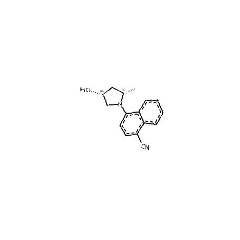 C[C@H]1C[C@@H](O)CN1c1ccc(C#N)c2ccccc12